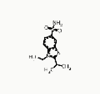 CCn1c(C(C)C)nc2cc(S(N)(=O)=O)ccc21